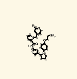 NCCOc1ccc(N2CCCC2c2csc(NC(=O)c3cccn3Cc3ccnc(F)c3)n2)cc1